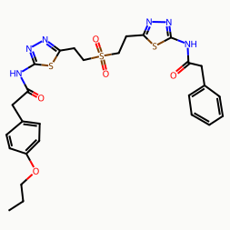 CCCOc1ccc(CC(=O)Nc2nnc(CCS(=O)(=O)CCc3nnc(NC(=O)Cc4ccccc4)s3)s2)cc1